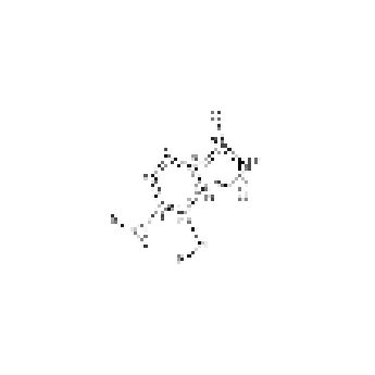 CCc1c(OC)ccc2c(C)noc12